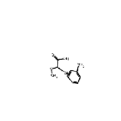 COC(O)C(=O)O.Nc1ccccc1